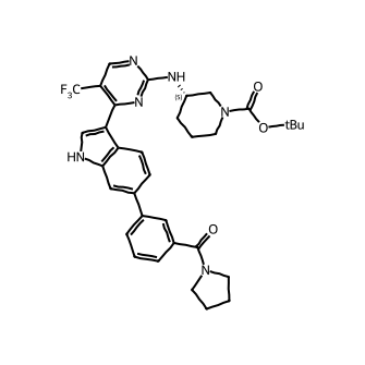 CC(C)(C)OC(=O)N1CCC[C@H](Nc2ncc(C(F)(F)F)c(-c3c[nH]c4cc(-c5cccc(C(=O)N6CCCC6)c5)ccc34)n2)C1